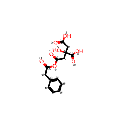 O=C(O)CC(O)(CC(=O)OC(=O)Cc1ccccc1)C(=O)O